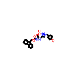 COc1ccc(Cn2cc(C[C@H](NC(=O)OCC3c4ccccc4-c4ccccc43)C(=O)O)nn2)cc1